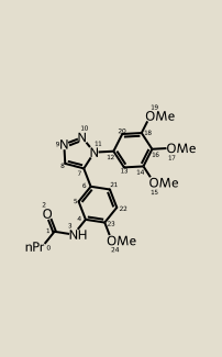 CCCC(=O)Nc1cc(-c2cnnn2-c2cc(OC)c(OC)c(OC)c2)ccc1OC